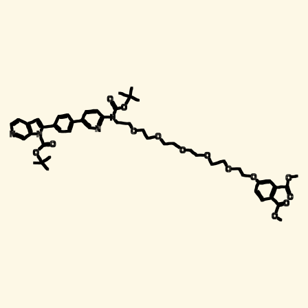 COC(=O)c1ccc(OCCOCCOCCOCCOCCOCCN(C(=O)OC(C)(C)C)c2ccc(-c3ccc(-c4cc5ccncc5n4C(=O)OC(C)(C)C)cc3)cn2)cc1C(=O)OC